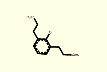 CCCCCCCCCCCCc1cccc(CCCCCCCCCCCC)c1[O]